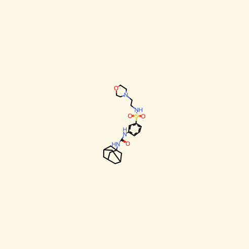 O=C(Nc1cccc(S(=O)(=O)NCCN2CCOCC2)c1)NC12CC3CC(CC(C3)C1)C2